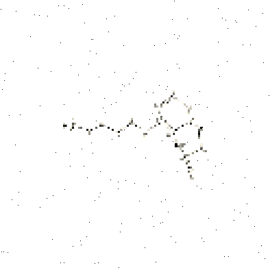 CCCCCOc1cccc2ccc(=O)[nH]c12